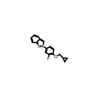 Fc1cc(-n2cc3cc[c]cc3n2)ccc1OCC1CC1